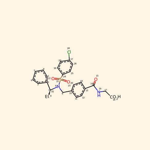 CC[C@@H](c1ccccc1)N(Cc1ccc(C(=O)NCC(=O)O)cc1)S(=O)(=O)c1ccc(Cl)cc1